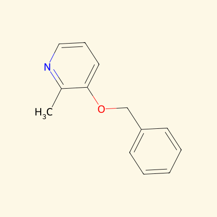 Cc1ncccc1OCc1ccccc1